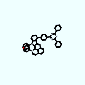 C1=CN(c2ccccc2)c2c3c1cccc3cc1c3c(-c4ccc(-c5nc(-c6ccccc6)nc(-c6ccccc6)n5)cc4)cccc3n(-c3ccccc3)c21